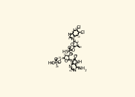 C=C1C[C@H](n2cnc3cc(Cl)c(Cl)cc32)O[C@@H]1OP(=O)(S)OC1C[C@@H](COP(C)(=O)O)O[C@H]1n1c(=O)[nH]c2c(N)ncnc21